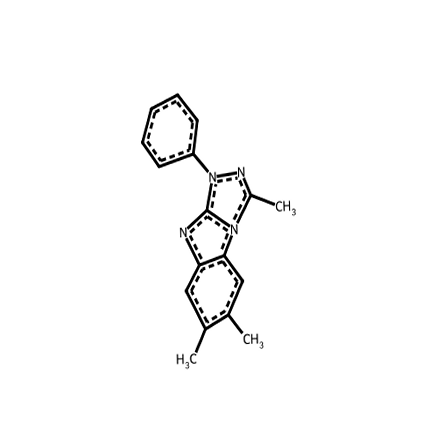 Cc1cc2nc3n(-c4ccccc4)nc(C)n3c2cc1C